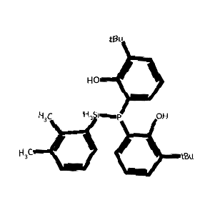 Cc1cccc([SiH2]P(c2cccc(C(C)(C)C)c2O)c2cccc(C(C)(C)C)c2O)c1C